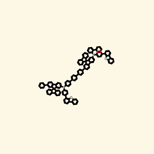 c1ccc(-c2ccc3c(c2)C2(c4ccccc4-c4ccccc42)c2cc(N(c4ccc(-c5ccc(-c6ccc(-c7ccc8c(c7)C7(c9ccccc9-c9ccccc97)c7cc(N(c9ccc(-c%10cccc%11c%10oc%10ccccc%10%11)cc9)c9ccccc9-c9ccccc9)ccc7-8)cc6)cc5)cc4)c4ccc(-c5cccc6c5oc5ccccc56)cc4)ccc2-3)cc1